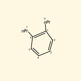 CCCc1[c][c]ccc1CCC